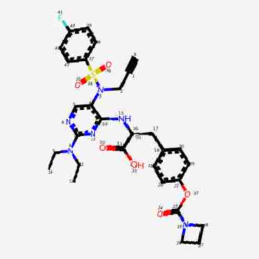 C#CCN(c1cnc(N(CC)CC)nc1N[C@@H](Cc1ccc(OC(=O)N2CCC2)cc1)C(=O)O)S(=O)(=O)c1ccc(F)cc1